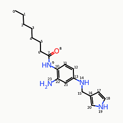 CCCCCCCC(=O)Nc1ccc(NCc2cc[nH]c2)cc1N